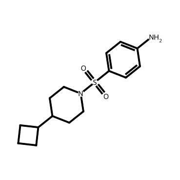 Nc1ccc(S(=O)(=O)N2CCC(C3CCC3)CC2)cc1